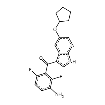 Nc1ccc(F)c(C(=O)c2c[nH]c3ncc(OC4CCCC4)cc23)c1F